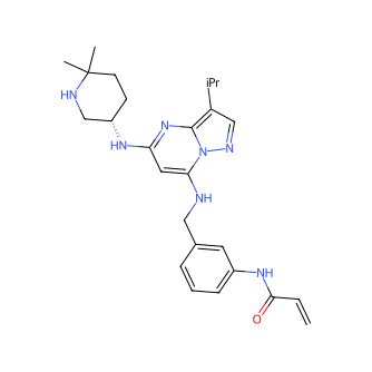 C=CC(=O)Nc1cccc(CNc2cc(N[C@H]3CCC(C)(C)NC3)nc3c(C(C)C)cnn23)c1